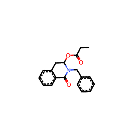 CCC(=O)OC1Cc2ccccc2C(=O)N1Cc1ccccc1